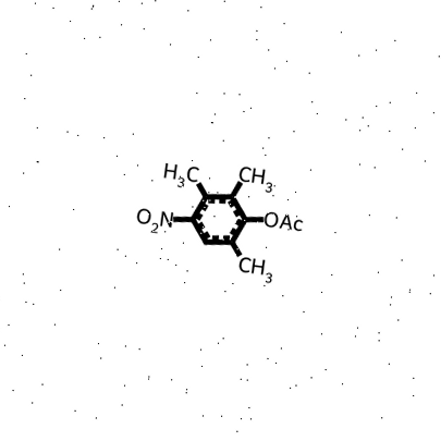 CC(=O)Oc1c(C)cc([N+](=O)[O-])c(C)c1C